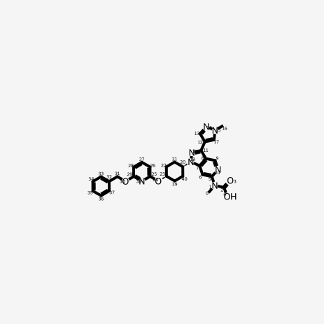 CN(C(=O)O)c1cc2c(cn1)c(-c1cnn(C)c1)nn2[C@H]1CC[C@@H](Oc2cccc(OCc3ccccc3)n2)CC1